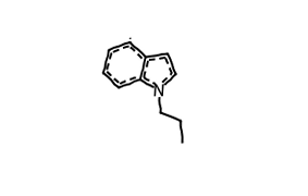 CCCn1ccc2[c]cccc21